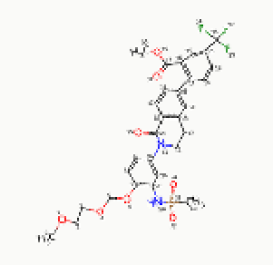 COCCOCOc1ccc(N2CCc3cc(-c4ccc(C(F)(F)F)cc4C(=O)OC)ccc3C2=O)cc1NS(C)(=O)=O